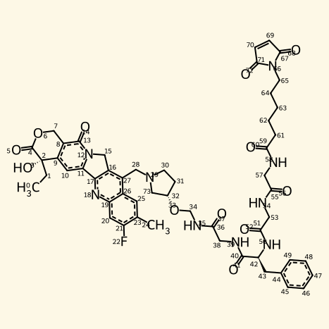 CC[C@@]1(O)C(=O)OCc2c1cc1n(c2=O)Cc2c-1nc1cc(F)c(C)cc1c2CN1CC[C@H](OCNC(=O)CNC(=O)[C@H](Cc2ccccc2)NC(=O)CNC(=O)CNC(=O)CCCCCN2C(=O)C=CC2=O)C1